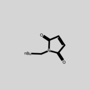 CCCCCN1C(=O)C=CC1=O